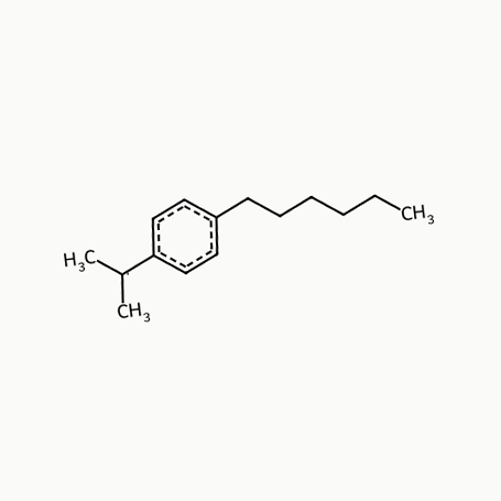 CCCCCCc1ccc([C](C)C)cc1